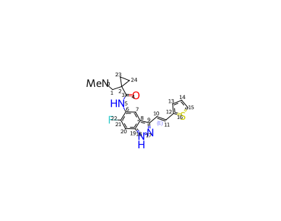 CNCC1(C(=O)Nc2cc3c(/C=C/c4cccs4)n[nH]c3cc2F)CC1